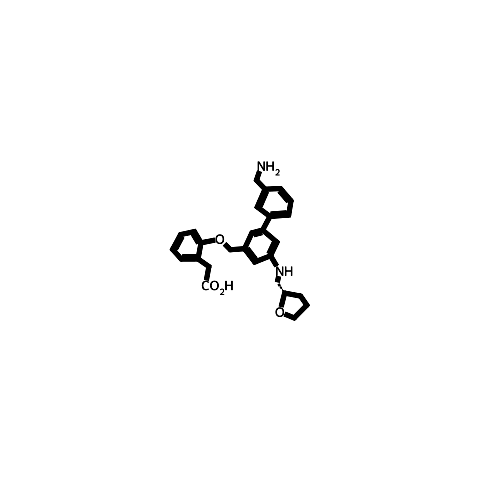 NCc1cccc(-c2cc(COc3ccccc3CC(=O)O)cc(NC[C@@H]3CCCO3)c2)c1